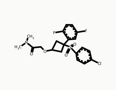 CN(C)C(=O)COC1CC(c2cc(F)ccc2F)(S(=O)(=O)c2ccc(Cl)cc2)C1